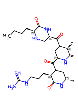 CCCC[C@@H]1NC[C@H](C(=O)C2C[C@H](C(=O)C3C[C@H](C(N)=O)NC(=O)[C@H]3CCCNC(=N)N)NC(=O)[C@@H]2C)NC1=O